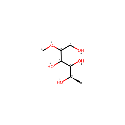 COC(CO)C(O)C(O)[C@@H](C)O